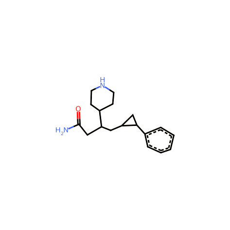 NC(=O)CC(CC1CC1c1ccccc1)C1CCNCC1